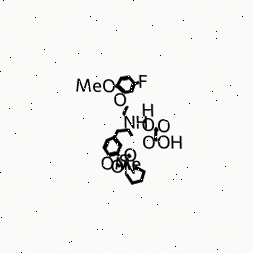 COc1ccc(F)cc1OCCNC(C)Cc1ccc(OC)c(S(=O)(=O)N2CCCCC2)c1.O=C(O)C(=O)O